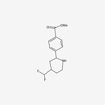 COC(=O)c1ccc(C2CC(C(F)F)CCN2)cc1